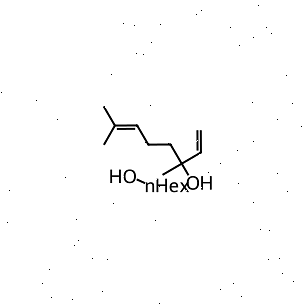 C=CC(C)(O)CCC=C(C)C.CCCCCCO